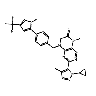 Cc1cnn(C2CC2)c1-c1ncc2c(n1)N(Cc1ccc(-c3nc(C(C)(F)F)cn3C)cc1)CC(=O)N2C